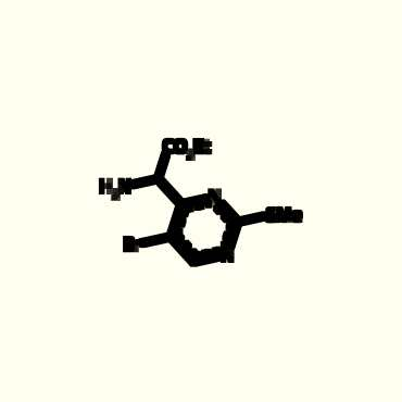 CCOC(=O)C(N)c1nc(SC)ncc1Br